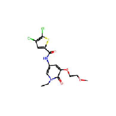 CCn1cc(NC(=O)c2cc(Cl)c(Cl)s2)cc(OCCOC)c1=O